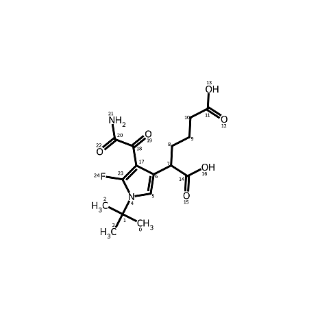 CC(C)(C)n1cc(C(CCCC(=O)O)C(=O)O)c(C(=O)C(N)=O)c1F